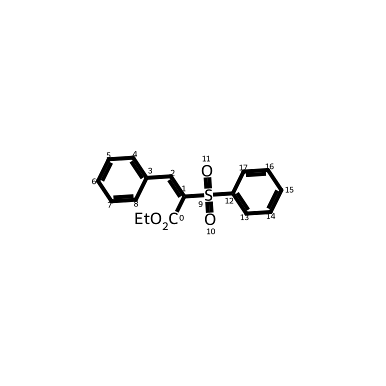 CCOC(=O)/C(=C\c1ccccc1)S(=O)(=O)c1ccccc1